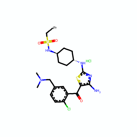 CC(C)CS(=O)(=O)N[C@H]1CC[C@H](Nc2nc(N)c(C(=O)c3cc(CN(C)C)ccc3Cl)s2)CC1.Cl